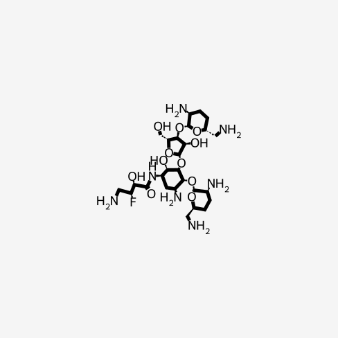 NC[C@@H]1CC[C@@H](N)[C@@H](O[C@H]2[C@H](O[C@@H]3O[C@H](CO)[C@@H](O[C@H]4O[C@@H](CN)CC[C@H]4N)[C@H]3O)[C@@H](O)[C@H](NC(=O)[C@@H](O)[C@H](F)CN)C[C@@H]2N)O1